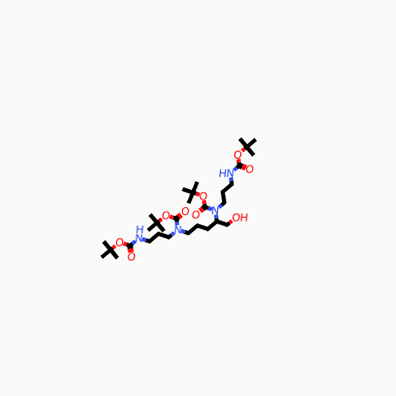 CC(C)(C)OC(=O)NCCCN(CCCC(CO)N(CCCNC(=O)OC(C)(C)C)C(=O)OC(C)(C)C)C(=O)OC(C)(C)C